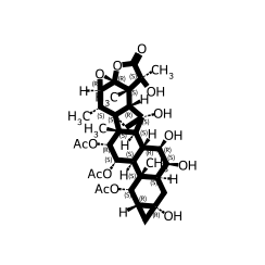 CC(=O)O[C@H]1[C@H]2[C@@H]([C@@H](O)[C@@H](O)[C@H]3C[C@@]4(O)C[C@@H]4[C@H](OC(C)=O)[C@]23C)[C@@H]2[C@@]3(O)C[C@@]4([C@H](C)[C@H]5O[C@]56OC(=O)[C@@](C)(O)[C@]6(C)[C@H]34)[C@@]2(C)[C@H]1OC(C)=O